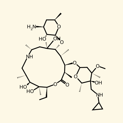 CC[C@@H]1OC(=O)[C@H](C)[C@H](OC2C[C@@](C)(OC)[C@](O)(CNC3CC3)[C@H](C)O2)[C@@H](C)[C@@H](O[C@@H]2O[C@H](C)C[C@H](N)[C@H]2O)[C@](C)(O)C[C@@H](C)NC[C@@H](C)[C@H](O)[C@]1(C)O